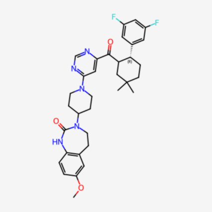 COc1ccc2c(c1)CCN(C1CCN(c3cc(C(=O)C4CC(C)(C)CC[C@H]4c4cc(F)cc(F)c4)ncn3)CC1)C(=O)N2